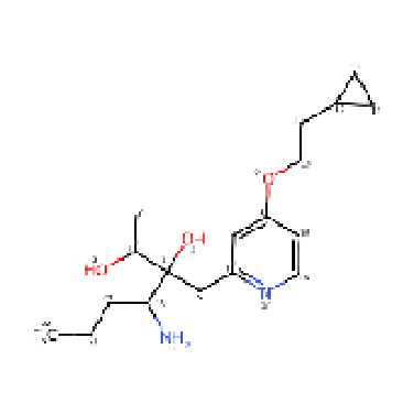 CC(O)C(O)(Cc1cc(OCCC2CC2)ccn1)C(N)CCC(F)(F)F